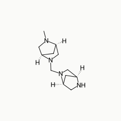 CN1C[C@H]2C[C@@H]1CN2CN1C[C@@H]2C[C@H]1CN2